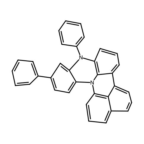 c1ccc(-c2ccc3c(c2)n(-c2ccccc2)c2cccc4c2-n3c2cccc3cccc4c32)cc1